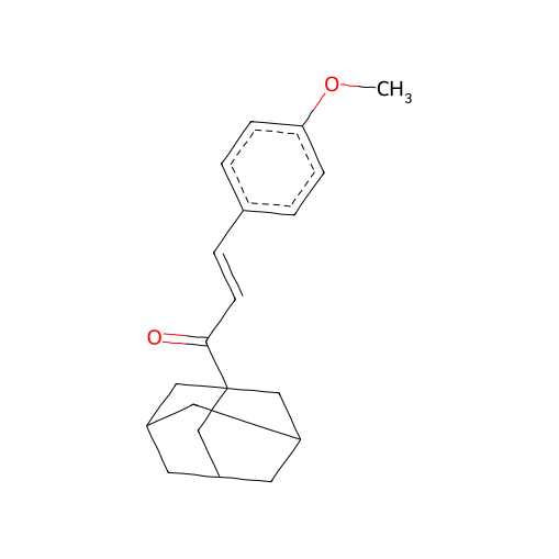 COc1ccc(C=CC(=O)C23CC4CC(CC(C4)C2)C3)cc1